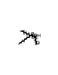 CCCCCCCCC(CCCCCC)C(=O)ON(O)CCC1CO1